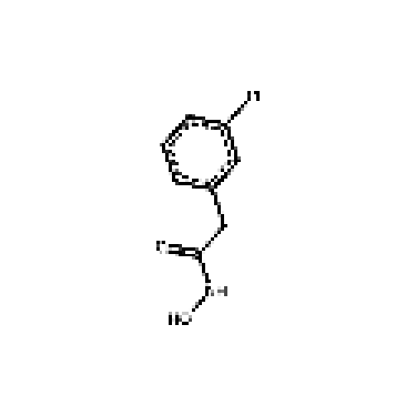 O=C(Cc1cccc(Cl)c1)NO